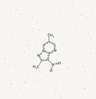 Cc1cnc2c([N+](=O)[O-])c(C)nn2c1